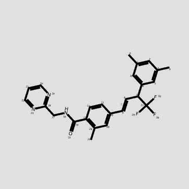 Cc1cc(C)cc(C(/C=C/c2ccc(C(=O)NCc3ncccn3)c(C)c2)C(F)(F)F)c1